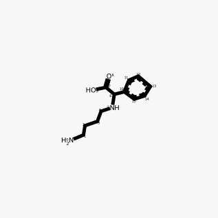 NCCCCNC(C(=O)O)c1ccccc1